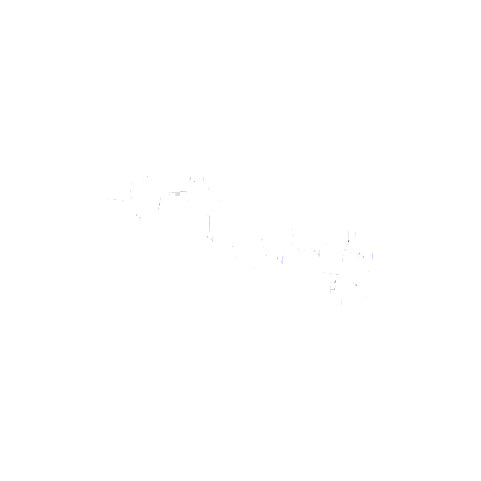 Cc1ccc2c(N)c(C(=O)N[C@H]3CCc4nc(N5C[C@@H]6NCC(F)(F)[C@@H]6C5)ccc4C3)sc2n1